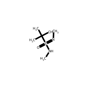 CN=S(=O)(NC)C(C)(C)C